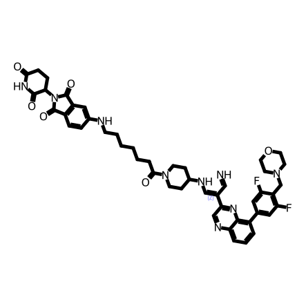 N=C/C(=C\NC1CCN(C(=O)CCCCCCNc2ccc3c(c2)C(=O)N(C2CCC(=O)NC2=O)C3=O)CC1)c1cnc2cccc(-c3cc(F)c(CN4CCOCC4)c(F)c3)c2n1